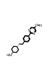 CCCC[C@H]1CC[C@H](CCc2ccc(-c3ncc(OCC)cn3)cc2)CC1